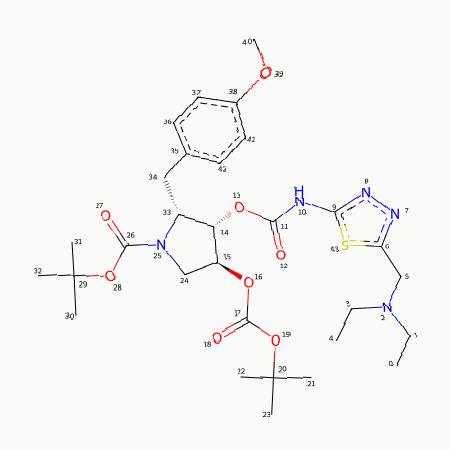 CCN(CC)Cc1nnc(NC(=O)O[C@@H]2[C@@H](OC(=O)OC(C)(C)C)CN(C(=O)OC(C)(C)C)[C@@H]2Cc2ccc(OC)cc2)s1